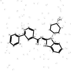 O=C(/N=c1\[nH]c2ccccc2n1[C@H]1CC[C@@H](O)CC1)c1ccnc(-c2ccccc2)c1